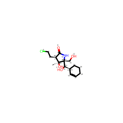 C[C@]1(O)[C@@H](CCCl)C(=O)N[C@]1(CO)C(O)[C@@H]1C=CCCC1